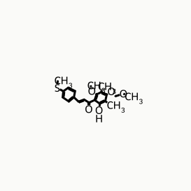 COCOc1c(C)c(O)c(C(=O)/C=C/c2ccc(SC)cc2)c(OC)c1C